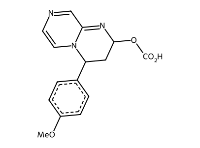 COc1ccc(C2CC(OC(=O)O)N=C3C=NC=CN32)cc1